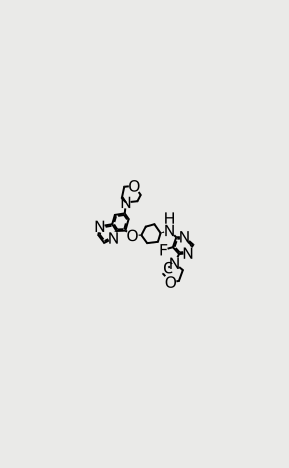 Fc1c(N[C@H]2CC[C@@H](Oc3cc(N4CCOCC4)cc4nccnc34)CC2)ncnc1N1CCOCC1